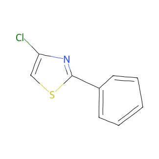 Clc1csc(-c2ccccc2)n1